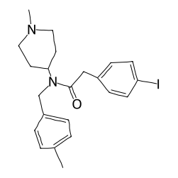 Cc1ccc(CN(C(=O)Cc2ccc(I)cc2)C2CCN(C)CC2)cc1